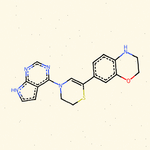 C1=C(c2ccc3c(c2)OCCN3)SCCN1c1ncnc2[nH]ccc12